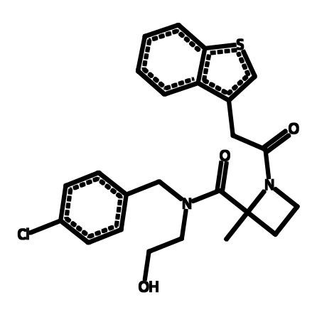 CC1(C(=O)N(CCO)Cc2ccc(Cl)cc2)CCN1C(=O)Cc1csc2ccccc12